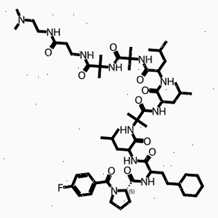 CC(C)CC(NC(=O)C(CCC1CCCCC1)NC(=O)[C@@H]1CCCN1C(=O)c1ccc(F)cc1)C(=O)NC(C)(C)C(=O)NC(CC(C)C)C(=O)NC(CC(C)C)C(=O)NC(C)(C)C(=O)NC(C)(C)C(=O)NCCC(=O)NCCN(C)C